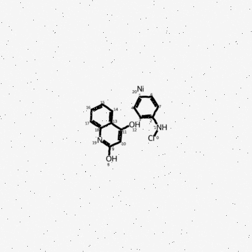 ClNc1ccccc1.Oc1cc(O)c2ccccc2n1.[Ni]